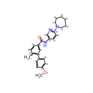 COc1ccc(-c2cc(C(=O)Nc3ccc(N4CCCCCC4)nc3)ccc2C)cc1